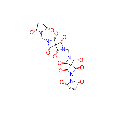 O=C1C=CC(=O)N1CN1C(=O)C2(C1=O)C(=O)N(CN1C(=O)C3(C1=O)C(=O)N(N1C(=O)C=CC1=O)C3=O)C2=O